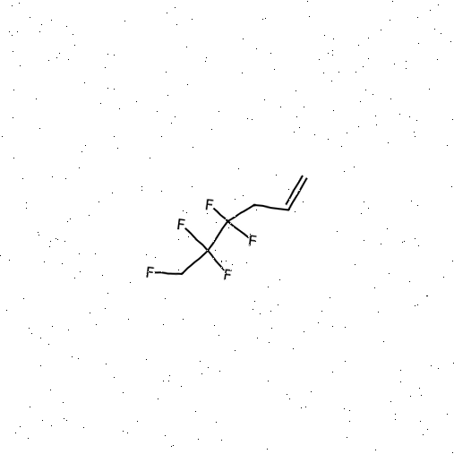 C=CCC(F)(F)C(F)(F)CF